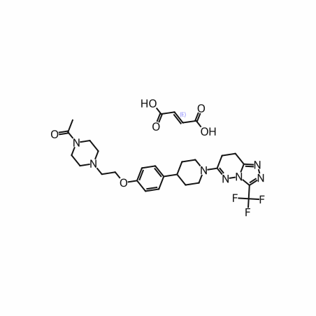 CC(=O)N1CCN(CCOc2ccc(C3CCN(C4=Nn5c(nnc5C(F)(F)F)CC4)CC3)cc2)CC1.O=C(O)/C=C/C(=O)O